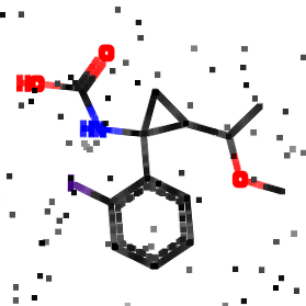 COC(C)C1CC1(NC(=O)O)c1ccccc1I